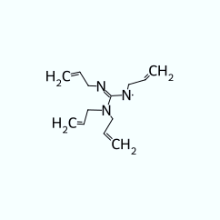 C=CC[N]C(=NCC=C)N(CC=C)CC=C